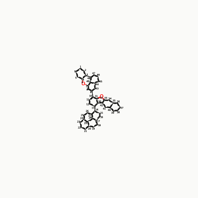 c1ccc2c(c1)Oc1cc(-c3ccc(-c4ccc5ccc6cccc7ccc4c5c67)c4c3oc3cc5ccccc5cc34)cc3cccc-2c13